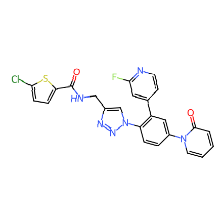 O=C(NCc1cn(-c2ccc(-n3ccccc3=O)cc2-c2ccnc(F)c2)nn1)c1ccc(Cl)s1